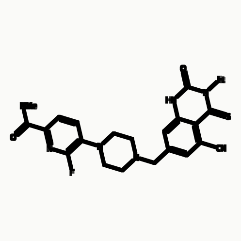 CCn1c(=O)[nH]c2cc(CN3CCN(c4ccc(C(=O)NC)nc4F)CC3)cc(C#N)c2c1=S